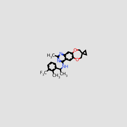 Cc1nc(NC(C)c2cccc(C(F)(F)F)c2C)c2cc3c(cc2n1)OCC1(CC1)CO3